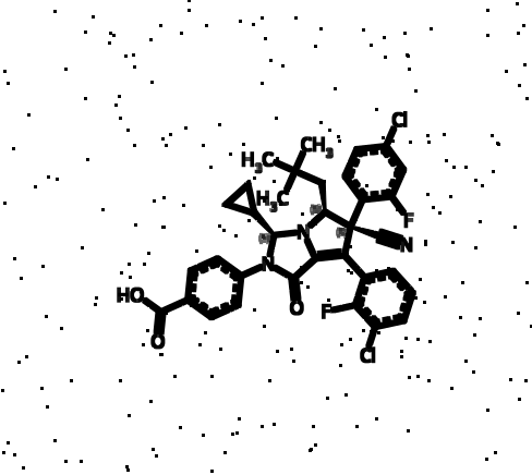 CC(C)(C)C[C@@H]1N2C(=C(c3cccc(Cl)c3F)[C@@]1(C#N)c1ccc(Cl)cc1F)C(=O)N(c1ccc(C(=O)O)cc1)[C@H]2C1CC1